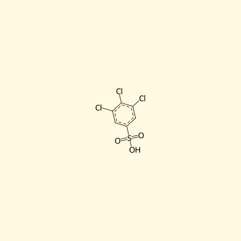 O=S(=O)(O)c1cc(Cl)c(Cl)c(Cl)c1